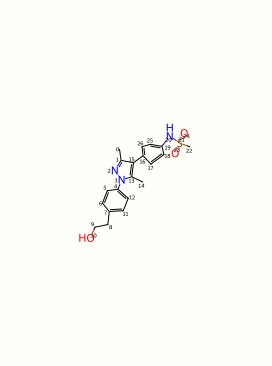 Cc1nn(-c2ccc(CCO)cc2)c(C)c1-c1ccc(NS(C)(=O)=O)cc1